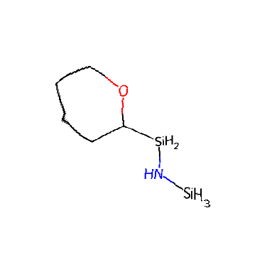 [SiH3]N[SiH2]C1CCCCO1